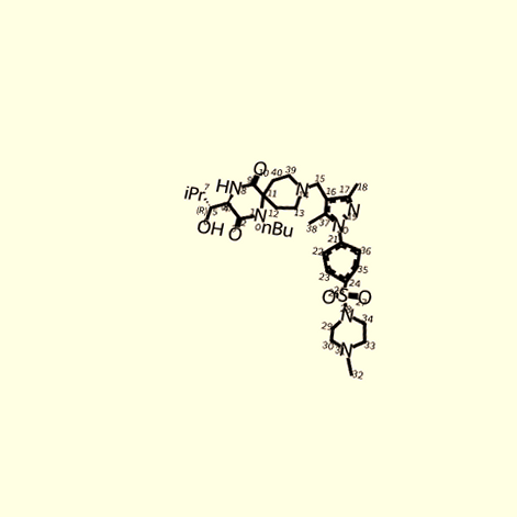 CCCCN1C(=O)[C@@H]([C@H](O)C(C)C)NC(=O)C12CCN(Cc1c(C)nn(-c3ccc(S(=O)(=O)N4CCN(C)CC4)cc3)c1C)CC2